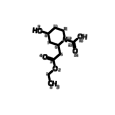 CCOC(=O)CC1CC(O)CCN1C(=O)O